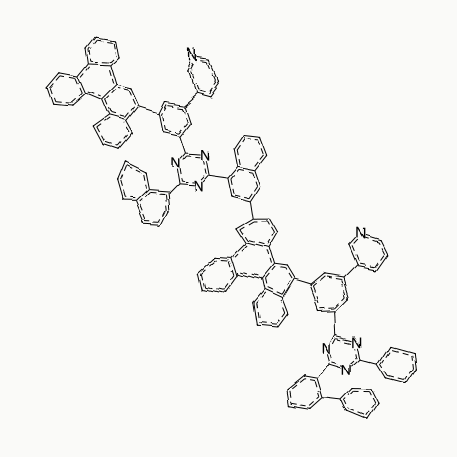 c1ccc(-c2nc(-c3cc(-c4cccnc4)cc(-c4cc5c6ccc(-c7cc(-c8nc(-c9cc(-c%10cccnc%10)cc(-c%10cc%11c%12ccccc%12c%12ccccc%12c%11c%11ccccc%10%11)c9)nc(-c9cccc%10ccccc9%10)n8)c8ccccc8c7)cc6c6ccccc6c5c5ccccc45)c3)nc(-c3ccccc3-c3ccccc3)n2)cc1